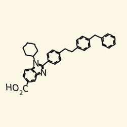 O=C(O)c1ccc2c(c1)nc(-c1ccc(CCc3ccc(Cc4ccccc4)cc3)cc1)n2C1CCCCC1